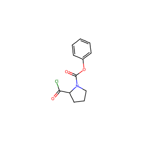 O=C(Cl)C1CCCN1C(=O)Oc1ccccc1